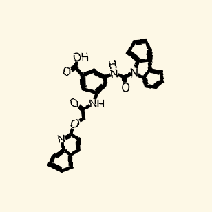 O=C(COc1ccc2ccccc2n1)Nc1cc(NC(=O)n2c3ccccc3c3ccccc32)cc(C(=O)O)c1